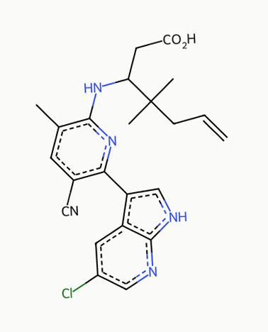 C=CCC(C)(C)C(CC(=O)O)Nc1nc(-c2c[nH]c3ncc(Cl)cc23)c(C#N)cc1C